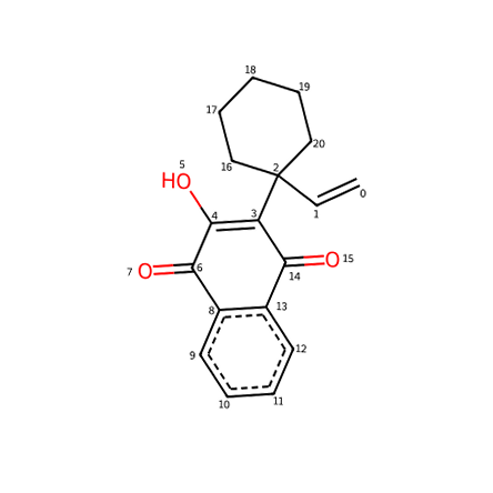 C=CC1(C2=C(O)C(=O)c3ccccc3C2=O)CCCCC1